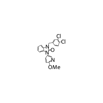 COc1ccc(-n2c(=O)n(Cc3ccc(Cl)c(Cl)c3)c3ccccc32)cn1